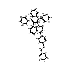 c1ccc(SCc2ccc(-c3ccc4c5c(cccc35)-c3c-4c(-c4ccccc4)c4ccccc4c3-c3ccccc3)cc2)cc1